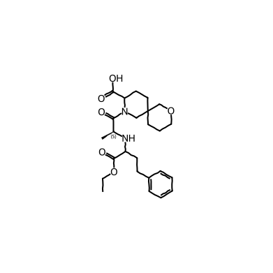 CCOC(=O)C(CCc1ccccc1)N[C@@H](C)C(=O)N1CC2(CCCOC2)CCC1C(=O)O